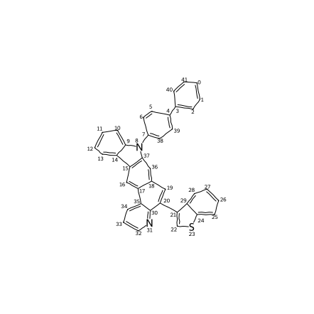 c1ccc(-c2ccc(-n3c4ccccc4c4cc5c(cc(-c6csc7ccccc67)c6ncccc65)cc43)cc2)cc1